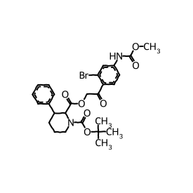 COC(=O)Nc1ccc(C(=O)COC(=O)C2C(c3ccccc3)CCCN2C(=O)OC(C)(C)C)c(Br)c1